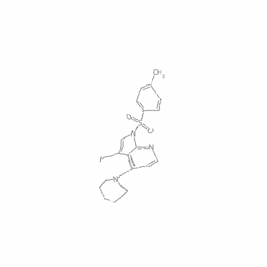 Cc1ccc(S(=O)(=O)n2cc(I)c3c(N4CCCCC4)ccnc32)cc1